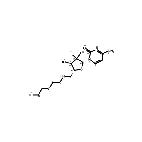 Nc1ccn([C@@H]2O[C@H](CNCCOCCO)[C@@H](O)C2(F)F)c(=O)n1